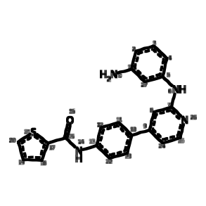 Nc1cccc(Nc2cc(-c3ccc(NC(=O)c4cccs4)cc3)ccn2)c1